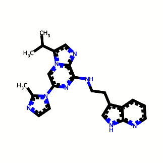 Cc1nccn1-c1cn2c(C(C)C)cnc2c(NCCc2c[nH]c3ncccc23)n1